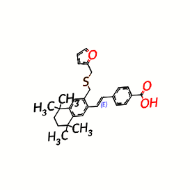 CC1(C)CCC(C)(C)c2cc(CSCc3ccco3)c(/C=C/c3ccc(C(=O)O)cc3)cc21